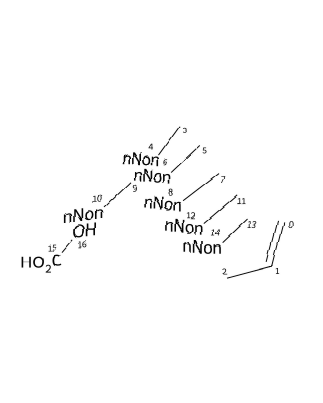 C=CC.CCCCCCCCCC.CCCCCCCCCC.CCCCCCCCCC.CCCCCCCCCC.CCCCCCCCCC.CCCCCCCCCC.O=C(O)O